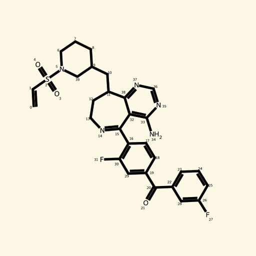 C=CS(=O)(=O)N1CCCC(CC2CCN=C(c3ccc(C(=O)c4cccc(F)c4)cc3F)c3c(N)ncnc32)C1